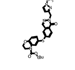 Cn1ccc(Cn2ncc3cc(Sc4ccc5c(c4)N(C(=O)OC(C)(C)C)CCO5)ccc3c2=O)n1